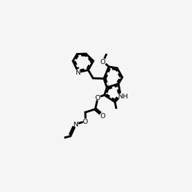 CC=NOCC(=O)Oc1c(C)[nH]c2ccc(OC)c(Cc3ccccn3)c12